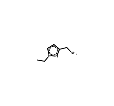 NCc1ccn(CI)n1